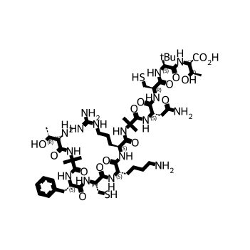 C[C@@H](O)[C@H](N)C(=O)NC(C)(C)C(=O)N[C@@H](Cc1ccccc1)C(=O)N[C@@H](CS)C(=O)N[C@@H](CCCCN)C(=O)N[C@@H](CCCNC(=N)N)C(=O)NC(C)(C)C(=O)N[C@@H](CC(N)=O)C(=O)N[C@@H](CS)C(=O)N[C@H](C(=O)N[C@H](C(=O)O)[C@@H](C)O)C(C)(C)C